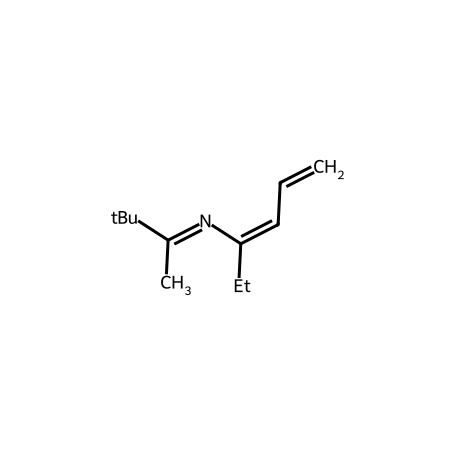 C=C/C=C(CC)\N=C(/C)C(C)(C)C